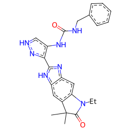 CCN1C(=O)C(C)(C)c2cc3[nH]c(-c4n[nH]cc4NC(=O)NCc4ccccc4)nc3cc21